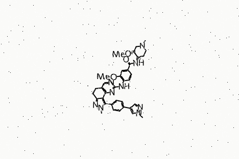 COc1cc(C(=O)N[C@@H]2CCN(C)C[C@H]2OC)ccc1Nc1ncc2c(n1)-c1c(nn(C)c1-c1ccc(-c3cnn(C)c3)cc1)CC2